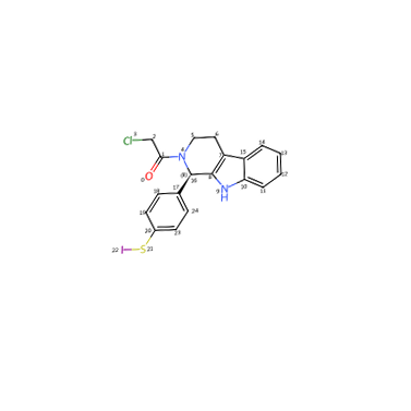 O=C(CCl)N1CCc2c([nH]c3ccccc23)[C@H]1c1ccc(SI)cc1